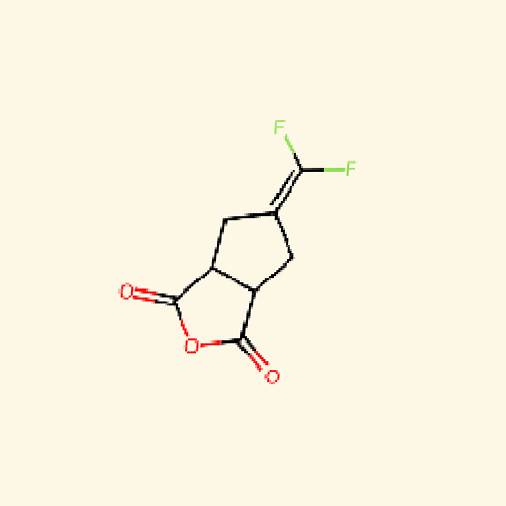 O=C1OC(=O)C2CC(=C(F)F)CC12